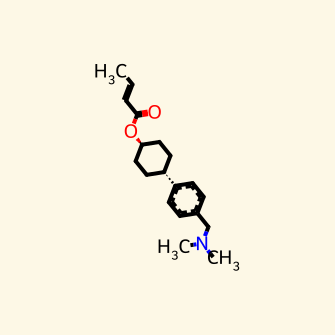 CC=CC(=O)O[C@H]1CC[C@H](c2ccc(CN(C)C)cc2)CC1